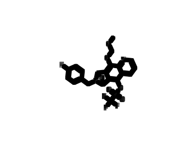 COCOc1c2c(c(OS(=O)(=O)C(F)(F)F)c3cccnc13)C1OC2N1Cc1ccc(F)cc1